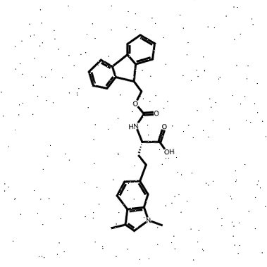 Cc1cn(C)c2cc(CC[C@H](NC(=O)OCC3c4ccccc4-c4ccccc43)C(=O)O)ccc12